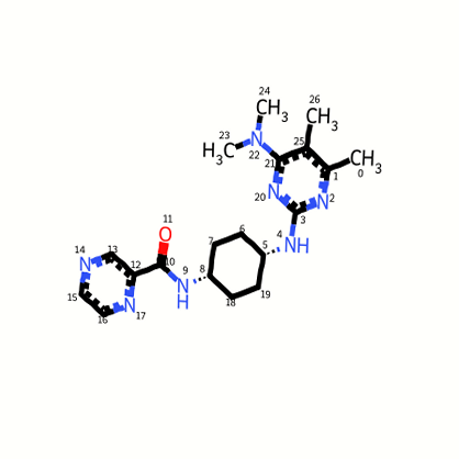 Cc1nc(N[C@H]2CC[C@@H](NC(=O)c3cnccn3)CC2)nc(N(C)C)c1C